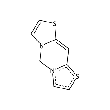 C1=CN2C[n+]3ccsc3C=C2S1